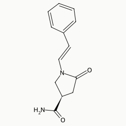 NC(=O)[C@@H]1CC(=O)N(C=Cc2ccccc2)C1